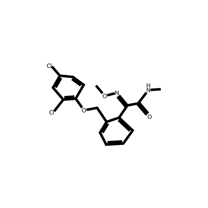 CNC(=O)/C(=N/OC)c1ccccc1COc1ccc(Cl)cc1Cl